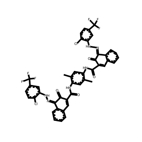 Cc1cc(NC(=O)C2=Cc3ccccc3/C(=N/Nc3cc(C(F)(F)F)ccc3Cl)C2=O)c(C)cc1NC(=O)C1=Cc2ccccc2/C(=N/Nc2cc(C(F)(F)F)ccc2Cl)C1=O